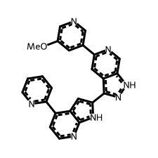 COc1cncc(-c2cc3c(-c4cc5c(-c6ccccn6)ccnc5[nH]4)n[nH]c3cn2)c1